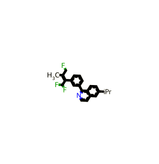 CC(CF)=C(c1cccc(-c2nccc3cc(C(C)C)ccc23)c1)C(F)F